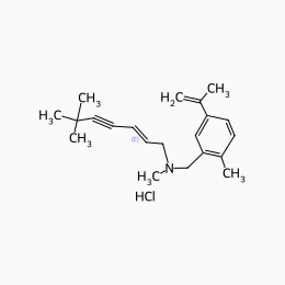 C=C(C)c1ccc(C)c(CN(C)C/C=C/C#CC(C)(C)C)c1.Cl